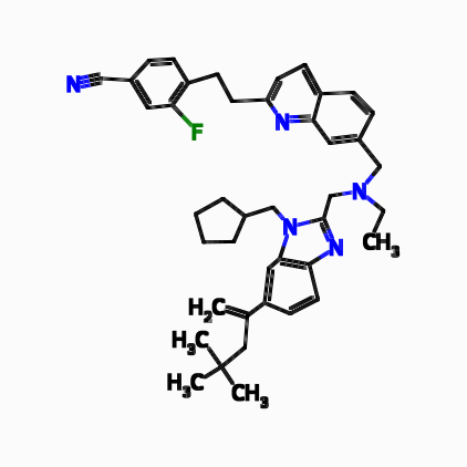 C=C(CC(C)(C)C)c1ccc2nc(CN(CC)Cc3ccc4ccc(CCc5ccc(C#N)cc5F)nc4c3)n(CC3CCCC3)c2c1